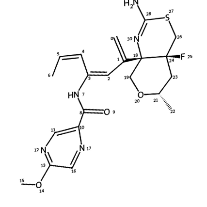 C=C(/C=C(\C=C/C)NC(=O)c1cnc(OC)cn1)[C@]12CO[C@@H](C)C[C@@]1(F)CSC(N)=N2